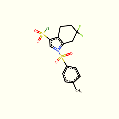 Cc1ccc(S(=O)(=O)n2cc(S(=O)(=O)Cl)c3c2CC(F)(F)CC3)cc1